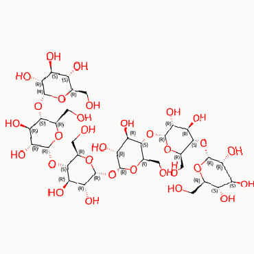 OC[C@H]1O[C@H](O[C@H]2[C@H](O)[C@@H](O)[C@@H](O[C@H]3[C@H](O)[C@@H](O)[C@@H](O[C@H]4O[C@H](CO)[C@@H](O[C@H]5O[C@H](CO)[C@@H](O[C@H]6O[C@H](CO)[C@@H](O)[C@H](O)[C@H]6O)[C@H](O)[C@H]5O)[C@H](O)[C@H]4O)O[C@@H]3CO)O[C@@H]2CO)[C@H](O)[C@@H](O)[C@@H]1O